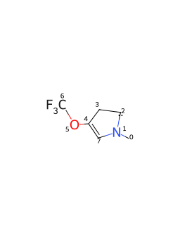 CN1[C]CC(OC(F)(F)F)=C1